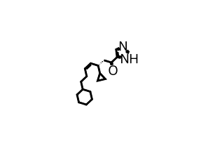 O=C(C[C@@H](/C=C\CCC1CCCCC1)C1CC1)c1cnc[nH]1